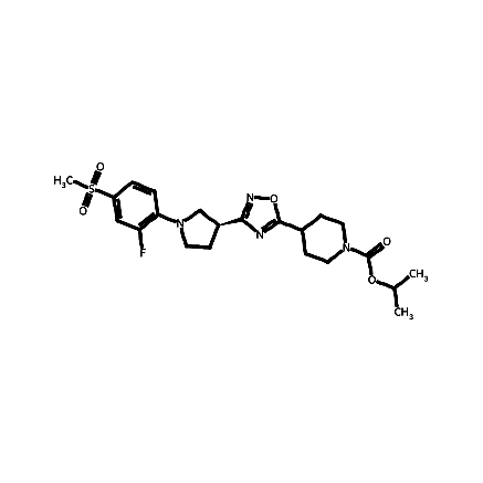 CC(C)OC(=O)N1CCC(c2nc([C@H]3CCN(c4ccc(S(C)(=O)=O)cc4F)C3)no2)CC1